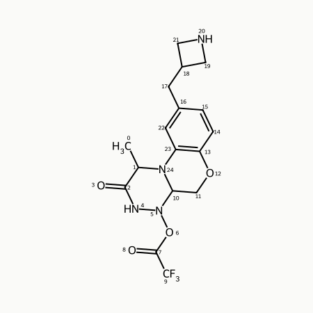 CC1C(=O)NN(OC(=O)C(F)(F)F)C2COc3ccc(CC4CNC4)cc3N12